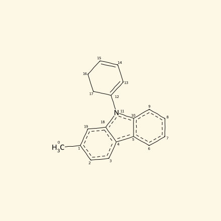 Cc1ccc2c3ccccc3n(C3=CC=CCC3)c2c1